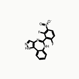 O=[N+]([O-])c1ccc(F)c(C2=Nc3cn[nH]c3-c3ccccc3N2)c1F